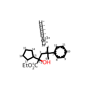 CCOC(=O)C(O)(CC(C)(C)c1ccccc1)C1CCCC1.[Al+3].[H-].[H-].[H-].[H-].[Li+]